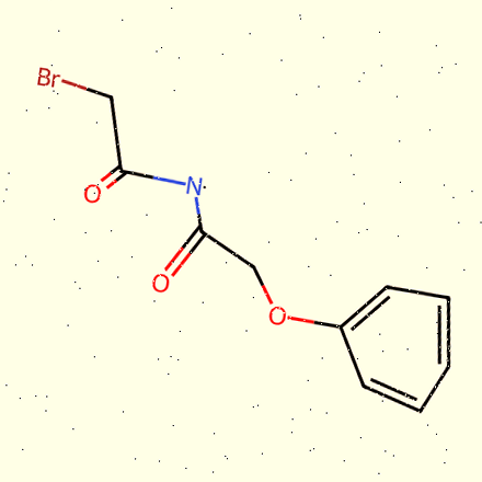 O=C(CBr)[N]C(=O)COc1ccccc1